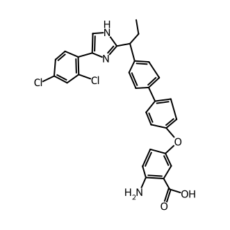 CCC(c1ccc(-c2ccc(Oc3ccc(N)c(C(=O)O)c3)cc2)cc1)c1nc(-c2ccc(Cl)cc2Cl)c[nH]1